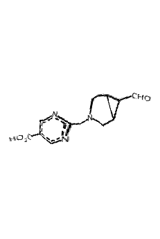 O=CC1C2CN(c3ncc(C(=O)O)cn3)CC12